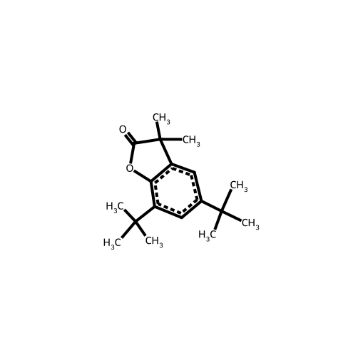 CC(C)(C)c1cc(C(C)(C)C)c2c(c1)C(C)(C)C(=O)O2